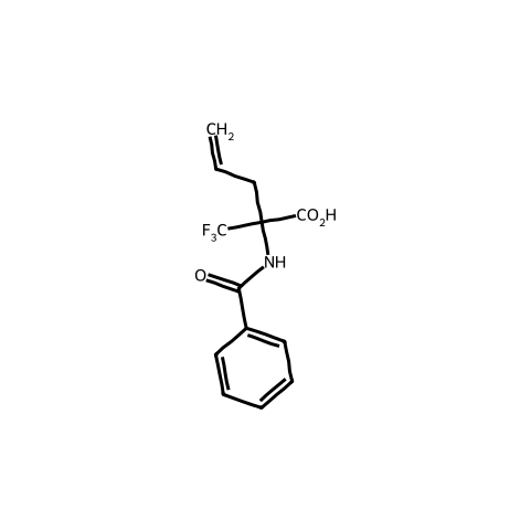 C=CCC(NC(=O)c1ccccc1)(C(=O)O)C(F)(F)F